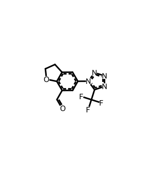 O=Cc1cc(-n2nnnc2C(F)(F)F)cc2c1OCC2